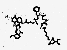 C=C(CN(C)C(=C)CCCCCN1C(=C)CC(C(CC)CC)C1=C)NCC(=C)N(C)C(CC(=C)N(C)CCCC(=C)NC1CCc2c(C)c(P)cc3nc4c(c1c23)CN1C(=C)C2=C(C=C41)C(CC)C(=O)CC2)Cc1ccccc1